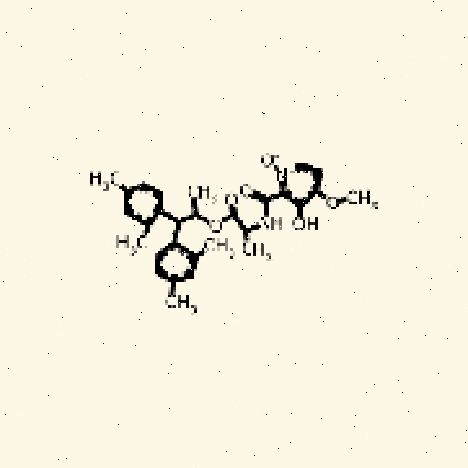 COc1cc[n+]([O-])c(C(=O)NC(C)C(=O)OC(C)C(c2ccc(C)cc2C)c2ccc(C)cc2C)c1O